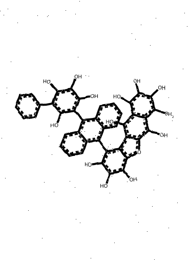 Bc1c(O)c(O)c(O)c2c(O)c3c(oc4c(O)c(O)c(O)c(-c5c6ccccc6c(-c6c(O)c(O)c(O)c(-c7ccccc7)c6O)c6ccccc56)c43)c(O)c12